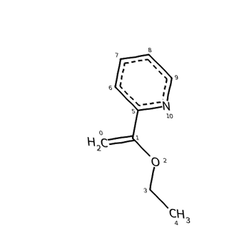 C=C(OCC)c1ccccn1